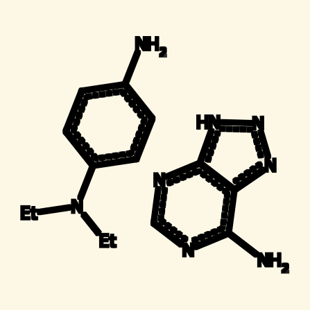 CCN(CC)c1ccc(N)cc1.Nc1ncnc2[nH]nnc12